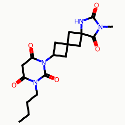 CCCCN1C(=O)CC(=O)N(C2CC3(C2)CC2(C3)NC(=O)N(C)C2=O)C1=O